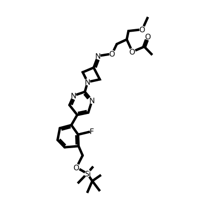 COCC(CON=C1CN(c2ncc(-c3cccc(CO[Si](C)(C)C(C)(C)C)c3F)cn2)C1)OC(C)=O